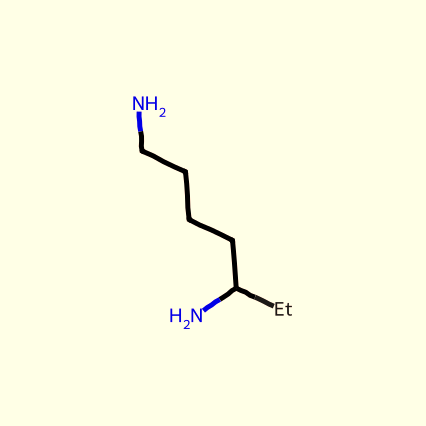 [CH2]CC(N)CCCCN